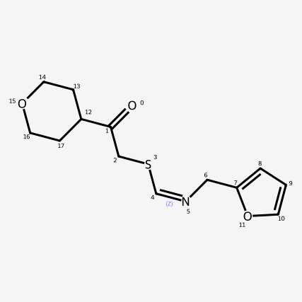 O=C(CS/C=N\Cc1ccco1)C1CCOCC1